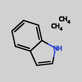 C.C.c1ccc2[nH]ccc2c1